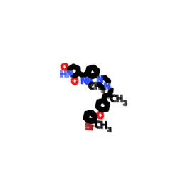 Cc1c(Br)cccc1OC1CCC(C[C@H](C)CN2CCN(c3cccc4c(C5CCC(=O)NC5=O)nn(C)c34)CC2)CC1